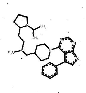 CC(C)N1CCCC1CCN(C)CC1CCN(c2ncnc3scc(-c4ccccc4)c23)CC1